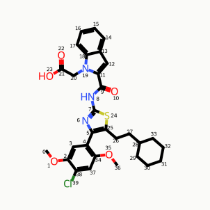 COc1cc(-c2nc(NC(=O)c3cc4ccccc4n3CC(=O)O)sc2CCC2CCCCC2)c(OC)cc1Cl